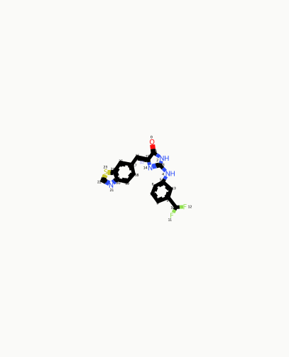 O=C1NC(Nc2cccc(C(F)F)c2)=N/C1=C\c1ccc2ncsc2c1